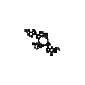 CN(C)P1(=O)OCC2OC(n3cnc4c(N)ncnc43)C(O)C2OP(=O)(O)OCC2OC(n3cnc4c(=O)[nH]c(N)nc43)C(O1)C2O